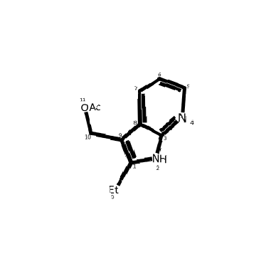 CCc1[nH]c2ncccc2c1COC(C)=O